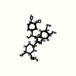 C[C@@H](c1ccc(Cl)c(Cl)c1)n1c(N2CCC(F)C(N)C2)nc2cc(F)c(F)cc21